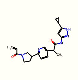 C=CC(=O)N1CCC(c2ccc(C(C)C(=O)Nc3cc(C4CC4)[nH]n3)cn2)C1